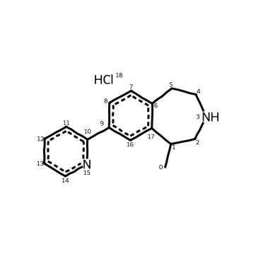 CC1CNCCc2ccc(-c3ccccn3)cc21.Cl